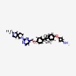 CN1CCC2(CCN(c3nccc(COc4ccc(C(C)(C)c5ccc(OC6CC(N)C6)cc5)cc4)n3)C2)C1